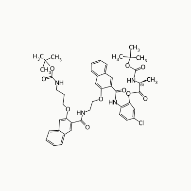 C[C@H](NC(=O)OC(C)(C)C)C(=O)Oc1cc(Cl)ccc1NC(=O)c1cc2ccccc2cc1OCCNC(=O)c1cc2ccccc2cc1OCCCNC(=O)OC(C)(C)C